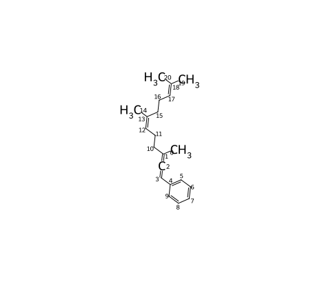 CC(=C=Cc1ccccc1)CCC=C(C)CCC=C(C)C